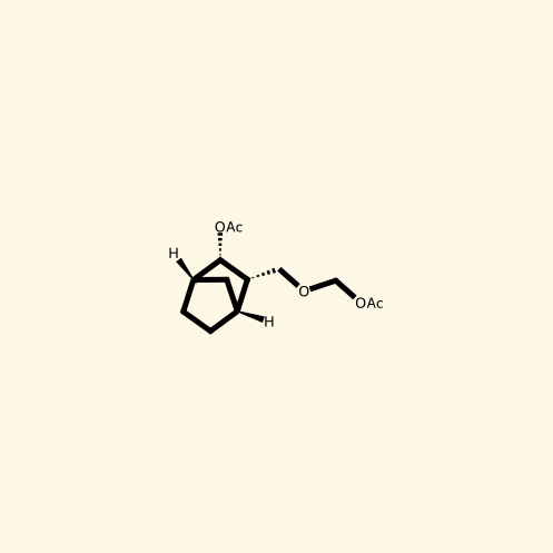 CC(=O)OCOC[C@@H]1[C@@H]2CC[C@@H](C2)[C@@H]1OC(C)=O